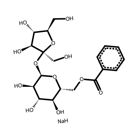 O=C(OC[C@H]1O[C@H](O[C@]2(CO)O[C@H](CO)[C@@H](O)[C@@H]2O)[C@H](O)[C@@H](O)[C@@H]1O)c1ccccc1.[NaH]